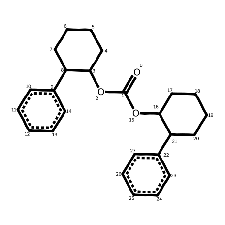 O=C(OC1CCCCC1c1ccccc1)OC1CCCCC1c1ccccc1